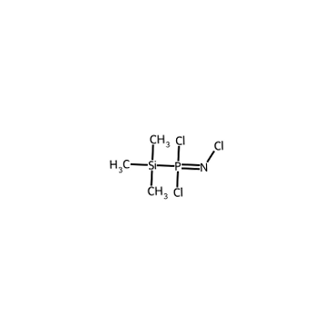 C[Si](C)(C)P(Cl)(Cl)=NCl